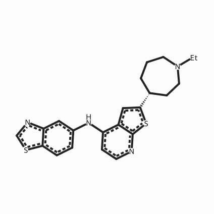 CCN1CCC[C@@H](c2cc3c(Nc4ccc5scnc5c4)ccnc3s2)CC1